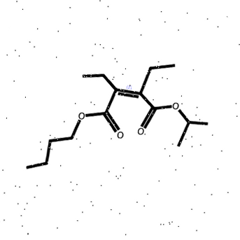 CCCCOC(=O)/C(CC)=C(/CC)C(=O)OC(C)C